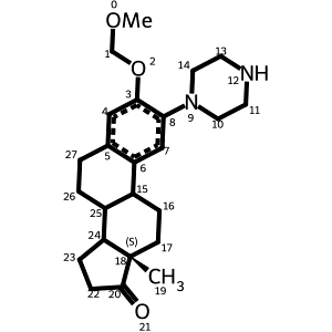 COCOc1cc2c(cc1N1CCNCC1)C1CC[C@]3(C)C(=O)CCC3C1CC2